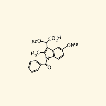 COc1ccc2c(c1)c(C(OC(C)=O)C(=O)O)c(C)n2C(=O)c1ccccc1